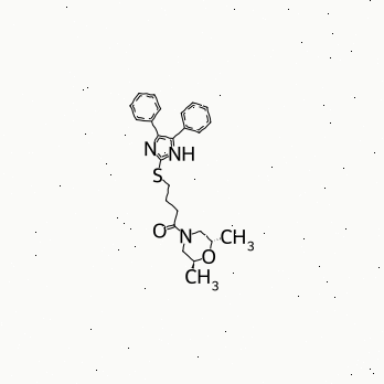 C[C@H]1CN(C(=O)CCCSc2nc(-c3ccccc3)c(-c3ccccc3)[nH]2)C[C@H](C)O1